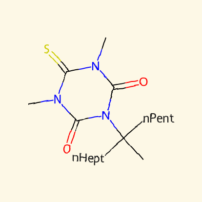 CCCCCCCC(C)(CCCCC)n1c(=O)n(C)c(=S)n(C)c1=O